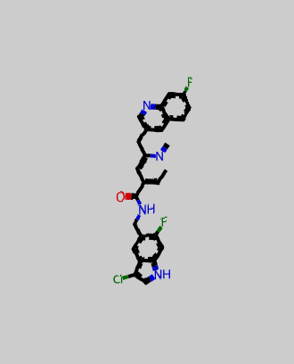 C=N/C(=C\C(=C/C)C(=O)NCc1cc2c(Cl)c[nH]c2cc1F)Cc1cnc2cc(F)ccc2c1